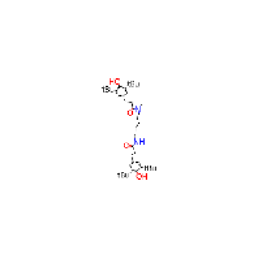 CN(CCCCCCNC(=O)CCc1cc(C(C)(C)C)c(O)c(C(C)(C)C)c1)C(=O)CCc1cc(C(C)(C)C)c(O)c(C(C)(C)C)c1